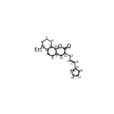 CCN1CCCc2c1ccc1cc(C/C=C/c3cccs3)c(=O)oc21